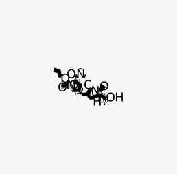 C=CCOC(=O)N1C[C@@H](CC2=C(C(=O)O)N3C(=O)[C@H]([C@@H](C)O)[C@H]3C2)C[C@H]1C(=O)N(C)C